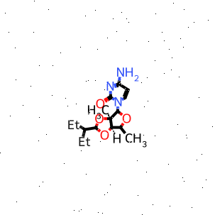 CCC(CC)C1O[C@@H]2C(C)OC(n3ccc(N)nc3=O)[C@]2(C)O1